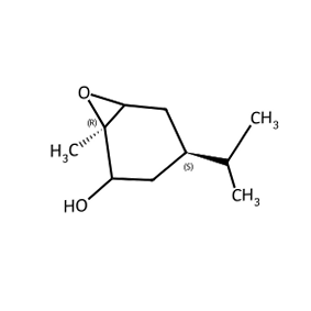 CC(C)[C@H]1CC(O)[C@@]2(C)OC2C1